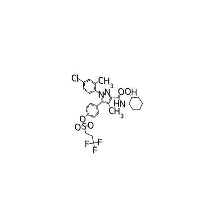 Cc1cc(Cl)ccc1-n1nc(C(=O)N[C@H]2CCCC[C@H]2O)c(C)c1-c1ccc(OS(=O)(=O)CCC(F)(F)F)cc1